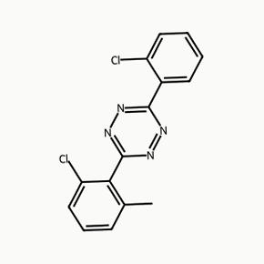 Cc1cccc(Cl)c1-c1nnc(-c2ccccc2Cl)nn1